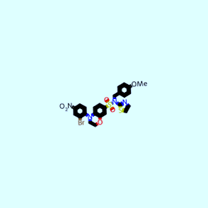 COc1ccc(CN(c2nccs2)S(=O)(=O)c2ccc3c(c2)OCCN3c2ccc([N+](=O)[O-])cc2Br)cc1